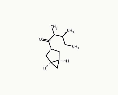 CC[C@H](C)C(C)C(=O)N1C[C@H]2C[C@H]2C1